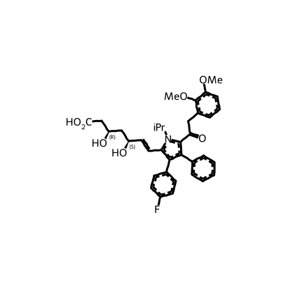 COc1cccc(CC(=O)c2c(-c3ccccc3)c(-c3ccc(F)cc3)c(C=C[C@@H](O)C[C@@H](O)CC(=O)O)n2C(C)C)c1OC